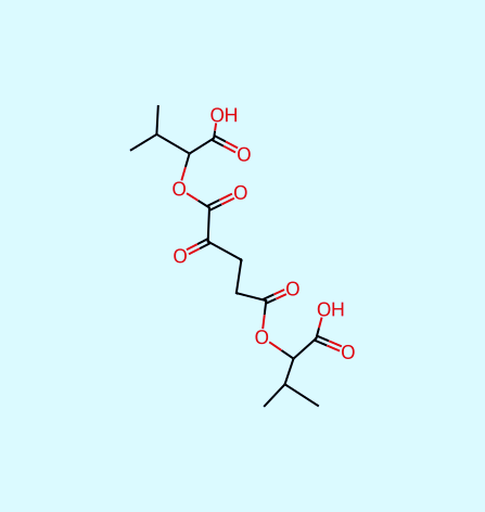 CC(C)C(OC(=O)CCC(=O)C(=O)OC(C(=O)O)C(C)C)C(=O)O